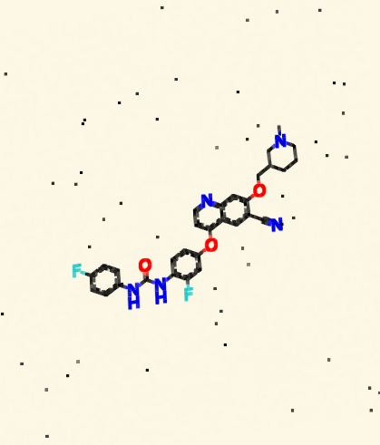 CN1CCCC(COc2cc3nccc(Oc4ccc(NC(=O)Nc5ccc(F)cc5)c(F)c4)c3cc2C#N)C1